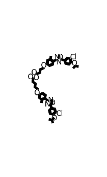 Cc1cc(OCCCCC(=O)OC(=O)CCCOc2ccc(-c3noc(-c4ccc(OC(C)C)c(Cl)c4)n3)c(C)c2)ccc1-c1noc(-c2ccc(OC(C)C)c(Cl)c2)n1